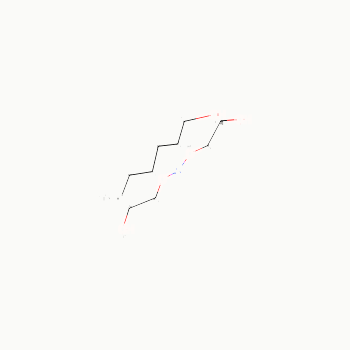 CCCCCCCCCCCCCCO.OCCONOCCO